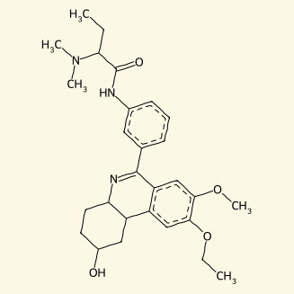 CCOc1cc2c(cc1OC)C(c1cccc(NC(=O)C(CC)N(C)C)c1)=NC1CCC(O)CC21